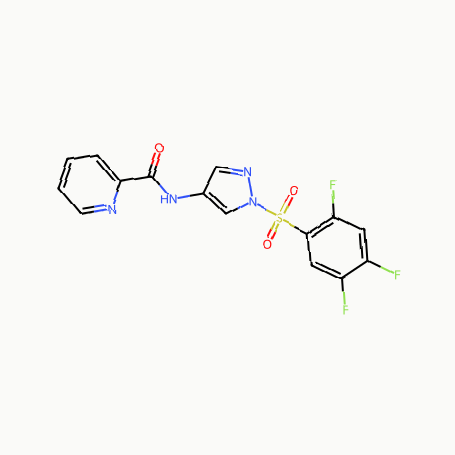 O=C(Nc1cnn(S(=O)(=O)c2cc(F)c(F)cc2F)c1)c1ccccn1